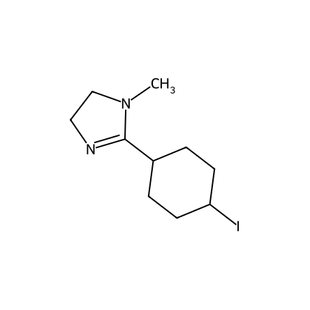 CN1CCN=C1C1CCC(I)CC1